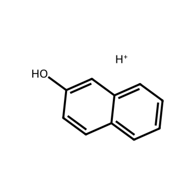 Oc1ccc2ccccc2c1.[H+]